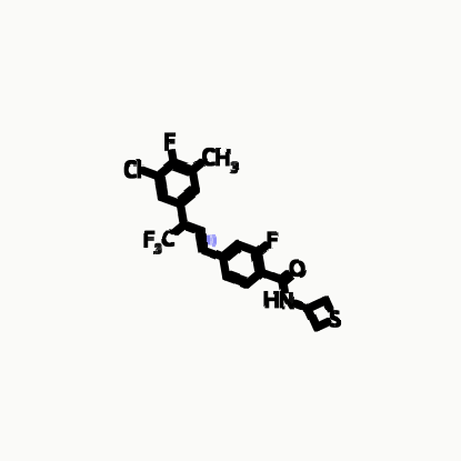 Cc1cc(C(/C=C/c2ccc(C(=O)NC3CSC3)c(F)c2)C(F)(F)F)cc(Cl)c1F